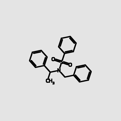 CC(c1ccccc1)N(Cc1ccccc1)S(=O)(=O)c1ccccc1